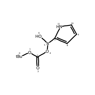 CC(C)(C)OC(=O)OB(O)c1ccc[nH]1